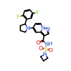 O=C(NS(=O)(=O)N1CCC1)c1cnn2ccc(N3CCCC3c3cc(F)ccc3F)cc12